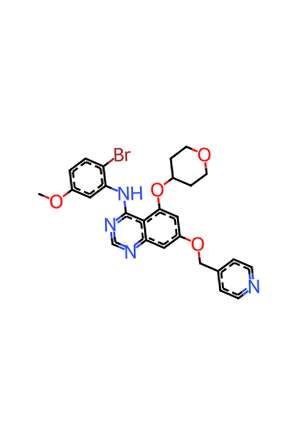 COc1ccc(Br)c(Nc2ncnc3cc(OCc4ccncc4)cc(OC4CCOCC4)c23)c1